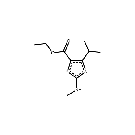 CCOC(=O)c1sc(NC)nc1C(C)C